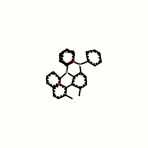 Cc1ccccc1-c1c(C)ccc(P(c2ccccc2)c2ccccc2)c1P(c1ccccc1)c1ccccc1